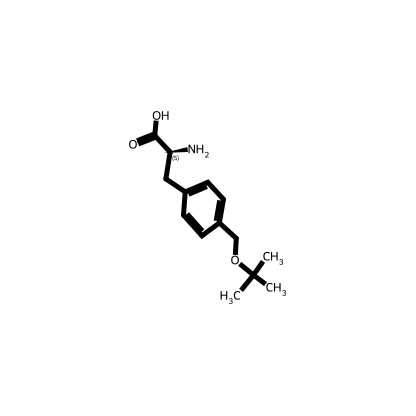 CC(C)(C)OCc1ccc(C[C@H](N)C(=O)O)cc1